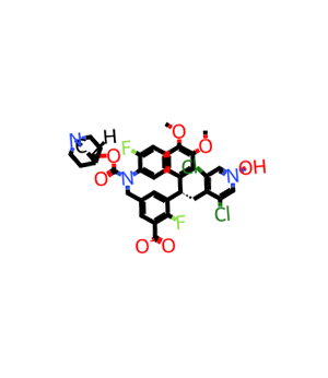 COc1ccc([C@H](Cc2c(Cl)c[n+](O)cc2Cl)c2cc(CN(C(=O)O[C@H]3CN4CCC3CC4)c3ccccc3F)cc(C(=O)[O-])c2F)cc1OC